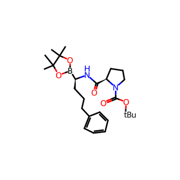 CC(C)(C)OC(=O)N1CCC[C@@H]1C(=O)N[C@@H](CCCc1ccccc1)B1OC(C)(C)C(C)(C)O1